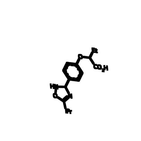 CCC(Oc1ccc(C2N=C(C(C)C)ON2)cc1)C(=O)O